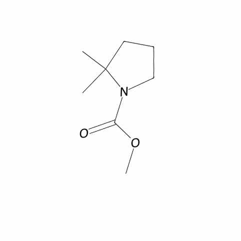 COC(=O)N1CCCC1(C)C